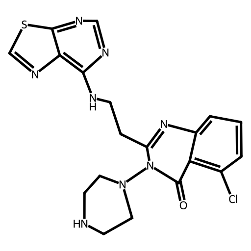 O=c1c2c(Cl)cccc2nc(CCNc2ncnc3scnc23)n1N1CCNCC1